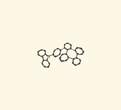 c1ccc2c(c1)-c1ccccc1-c1cccc(-c3ccc(-n4c5ccccc5c5ccccc54)cc3)c1-c1ccccc1-2